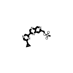 CS(=O)(=O)OCc1cc2nc(-c3cncc(C4CC4)n3)cnc2cn1